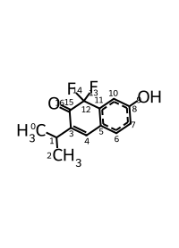 CC(C)C1=Cc2ccc(O)cc2C(F)(F)C1=O